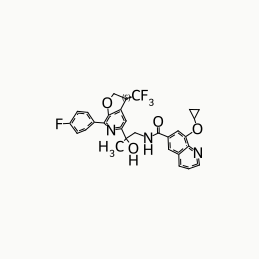 CC(O)(CNC(=O)c1cc(OC2CC2)c2ncccc2c1)c1cc2c(c(-c3ccc(F)cc3)n1)OC[C@H]2C(F)(F)F